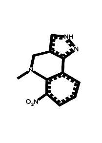 CN1Cc2c[nH]nc2-c2cccc([N+](=O)[O-])c21